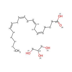 CCCCC/C=C\C/C=C\C/C=C\C/C=C\CCCC(=O)O.OCC(O)CO